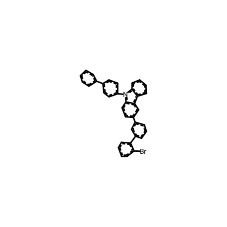 Brc1ccccc1-c1cccc(-c2ccc3c(c2)c2ccccc2n3-c2ccc(-c3ccccc3)cc2)c1